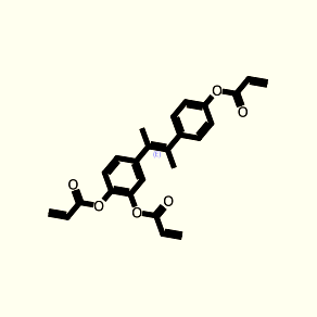 C=CC(=O)Oc1ccc(/C(C)=C(\C)c2ccc(OC(=O)C=C)c(OC(=O)C=C)c2)cc1